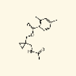 CC(=O)NCC1(COC(=O)c2ccc(C)cc2C)CC1